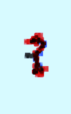 CN[C@@H](Cc1cn(CCCC[C@@H](C(=O)NCC(CO[C@@H]2O[C@H](CO)C[C@H](O)[C@H]2O)c2ccccc2)[N+](C)(C)C)nn1)C(=O)NCCOCCOCCn1cc(CNC(=O)c2ccc3c(c2)C(=O)OC32c3ccc(O)cc3Oc3cc(O)ccc32)nn1